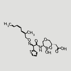 C=C/C=C\C=C(/C)CO/N=C(\C(=O)N[C@H]1COC[C@H](CC(=O)O)OB1O)c1cccs1